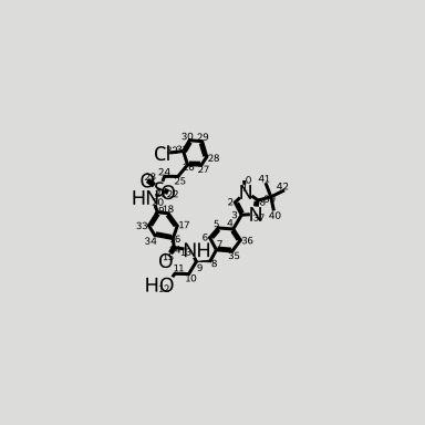 Cn1cc(-c2ccc(C[C@@H](CCO)NC(=O)c3ccc(NS(=O)(=O)CCc4ccccc4Cl)cc3)cc2)nc1C(C)(C)C